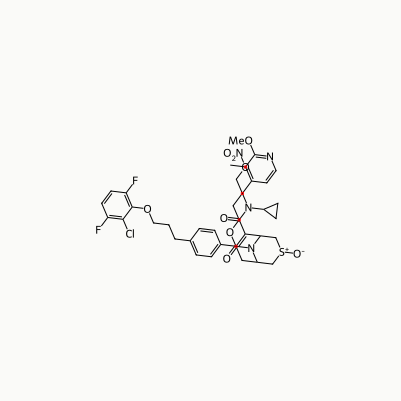 COc1nccc(CN(C(=O)C2=C(c3ccc(CCCOc4c(F)ccc(F)c4Cl)cc3)CC3C[S+]([O-])CC2N3C(=O)OCCCCO[N+](=O)[O-])C2CC2)c1C